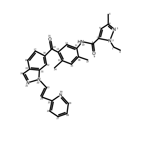 CCn1nc(C)cc1C(=O)Nc1cc(C(=O)c2ccc3cnn(C=Cc4ccccn4)c3c2)c(C)cc1C